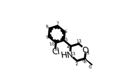 C[C@H]1CNC(c2ccccc2Cl)CO1